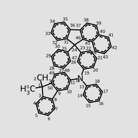 CC1(C)c2ccccc2-c2cc(N(c3ccccc3)c3cccc(C4(c5ccccc5)c5ccccc5-c5ccc6ccccc6c54)c3)ccc21